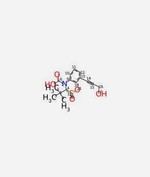 CC(C)(C)C(N(C(=O)O)c1cccc(C#CCO)c1)=S(=O)=O